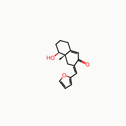 C[C@]12C/C(=C\c3ccco3)C(=O)C=C1CCC[C@@H]2O